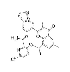 Cc1cc([C@@H](C)Oc2ccc(Cl)nc2C(N)=O)c2oc(-c3ccc4ccnn4c3)c(C)c(=O)c2c1